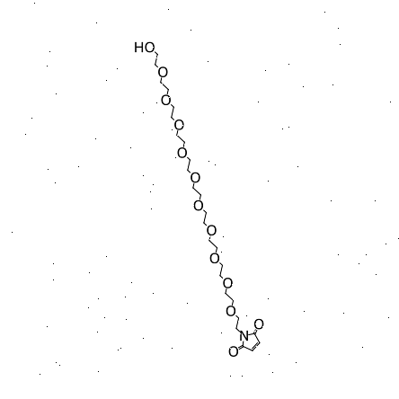 O=C1C=CC(=O)N1CCOCCOCCOCCOCCOCCOCCOCCOCCOCCOCCO